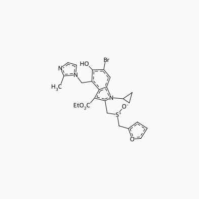 CCOC(=O)c1c(C[S+]([O-])Cc2ccco2)n(C2CC2)c2cc(Br)c(O)c(Cn3ccnc3C)c12